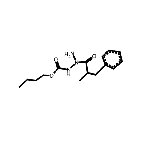 CCCCOC(=O)NN(N)C(=O)C(C)Cc1ccccc1